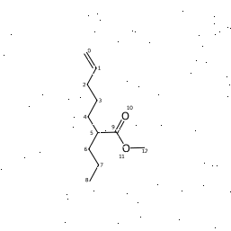 C=CCCCC(CCC)C(=O)OC